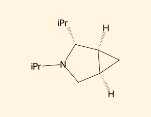 CC(C)[C@@H]1[C@H]2C[C@H]2CN1C(C)C